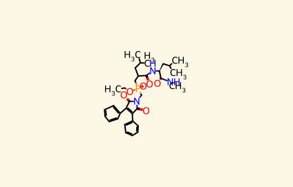 CCOP(=O)(CC(CC(C)C)C(=O)N[C@@H](CC(C)C)C(=O)NC)CN1C(=O)C(c2ccccc2)=C(c2ccccc2)C1=O